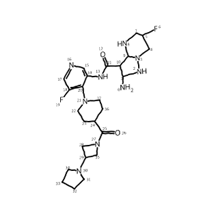 NC1NN2CC(F)CNC2C1C(=O)Nc1cncc(F)c1N1CCC(C(=O)N2CC(N3CCCC3)C2)CC1